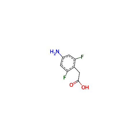 Nc1cc(F)c(CC(=O)O)c(F)c1